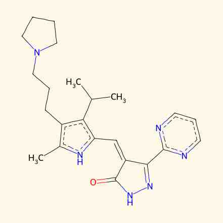 Cc1[nH]c(C=C2C(=O)NN=C2c2ncccn2)c(C(C)C)c1CCCN1CCCC1